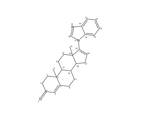 CC12CCC(=O)C=C1CCC1C2CCC2(C)C(n3cnc4ccccc43)=CCC12